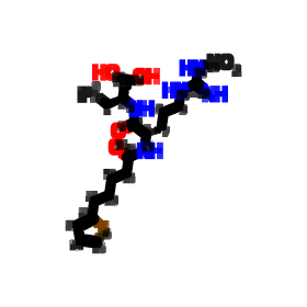 CC(C)C[C@H](NC(=O)[C@H](CCCNC(=N)N[N+](=O)[O-])NC(=O)CCCCc1cccs1)B(O)O